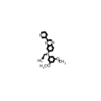 C#CCN(c1cc(OC)cc(OC)c1)c1ccc2ncc(-c3cccnc3)nc2c1